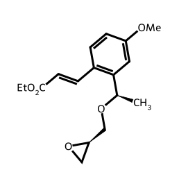 CCOC(=O)/C=C/c1ccc(OC)cc1[C@@H](C)OC[C@H]1CO1